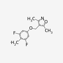 [CH2]c1c(F)cc(OCc2c(C)noc2C)cc1F